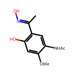 COc1cc(O)c(C(C)=NO)cc1NC(C)=O